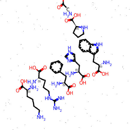 N=C(N)NCCC[C@H](N)C(=O)O.NCC(=O)O.NCCCC[C@H](N)C(=O)O.N[C@@H](Cc1c[nH]c2ccccc12)C(=O)O.N[C@@H](Cc1c[nH]cn1)C(=O)O.N[C@@H](Cc1ccccc1)C(=O)O.O=C(O)[C@@H]1CCCN1